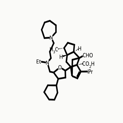 CCN(CCCN1CCCCCC1)CC1OC(C23C[C@@H]4[C@H](C)CC[C@H]4C4(C=O)CC2C=C(C(C)C)[C@@]34C(=O)O)CC1C1CCCCC1